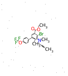 CC#CCN(C)c1c(C)c(-c2ccc(OC(F)(F)F)cc2)cc(C(=O)OCC)c1Br